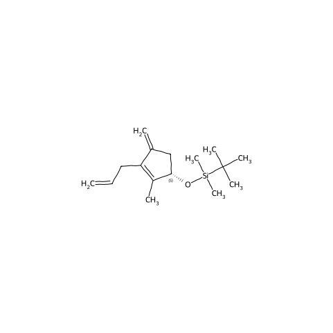 C=CCC1=C(C)[C@@H](O[Si](C)(C)C(C)(C)C)CC1=C